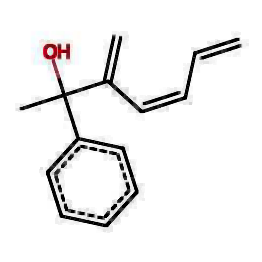 C=C/C=C\C(=C)C(C)(O)c1ccccc1